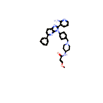 CO/C=C/C(=O)NC1CCN(Cc2ccc(-n3c(-c4cccnc4N)nc4ccc(-c5ccccc5)nc43)cc2)CC1